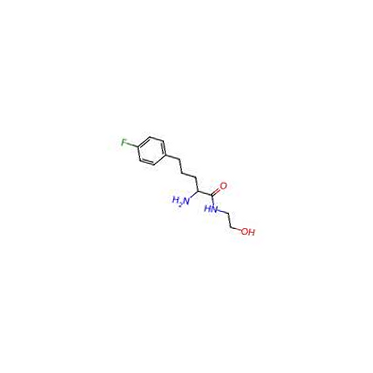 NC(CCCc1ccc(F)cc1)C(=O)NCCO